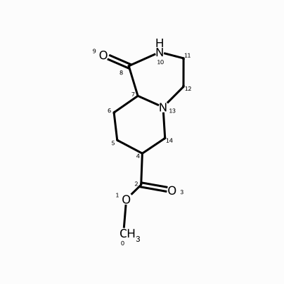 COC(=O)C1CCC2C(=O)NCCN2C1